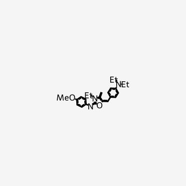 C=c1/c(=C\c2ccc(N(CC)CC)cc2)o/c(=N/c2ccc(OC)cc2)n1CC